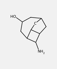 NC1C2CC(O)CC3CC1C2C3